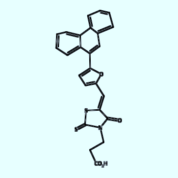 O=C(O)CCN1C(=O)C(=Cc2ccc(-c3cc4ccccc4c4ccccc34)o2)SC1=S